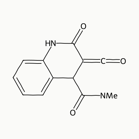 CNC(=O)C1C(=C=O)C(=O)Nc2ccccc21